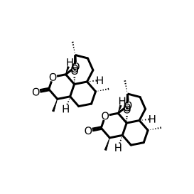 C[C@@H]1CC[C@H]2[C@@H](C)C(=O)O[C@@H]3O[C@]4(C)CC[C@@H]1[C@]32OO4.C[C@@H]1CC[C@H]2[C@@H](C)C(=O)O[C@@H]3O[C@]4(C)CC[C@@H]1[C@]32OO4